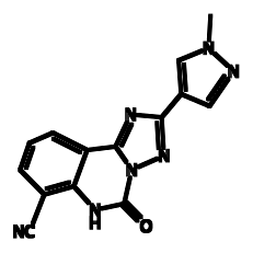 Cn1cc(-c2nc3c4cccc(C#N)c4[nH]c(=O)n3n2)cn1